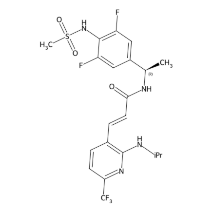 CC(C)Nc1nc(C(F)(F)F)ccc1C=CC(=O)N[C@H](C)c1cc(F)c(NS(C)(=O)=O)c(F)c1